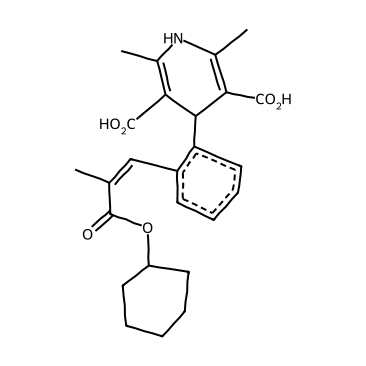 CC(=Cc1ccccc1C1C(C(=O)O)=C(C)NC(C)=C1C(=O)O)C(=O)OC1CCCCC1